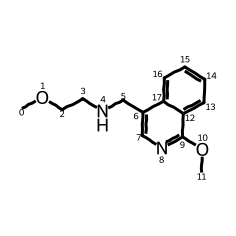 COCCNCc1cnc(OC)c2ccccc12